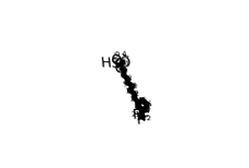 CO[SiH](OC)OCCCCCCCCc1cccc(C(F)(F)F)c1